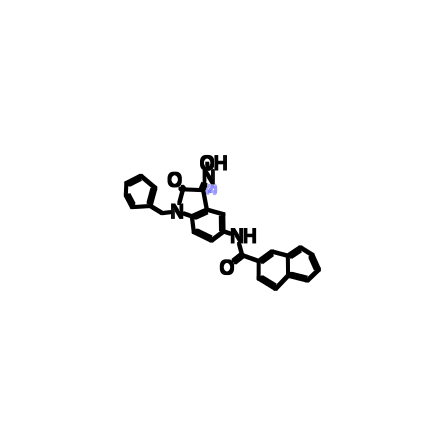 O=C(Nc1ccc2c(c1)/C(=N/O)C(=O)N2Cc1ccccc1)c1ccc2ccccc2c1